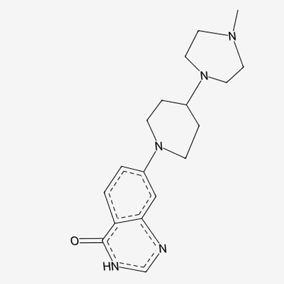 CN1CCN(C2CCN(c3ccc4c(=O)[nH]cnc4c3)CC2)CC1